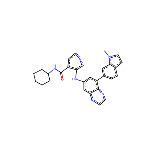 Cn1ccc2ccc(-c3cc(Nc4cnccc4C(=O)NC4CCCCC4)cc4nccnc34)cc21